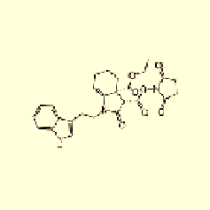 CCOC(=O)[C@@]12CCCC=C1N(CCc1c[nH]c3ccccc13)C(=O)[C@H]2C(=O)ON1C(=O)CCC1=O